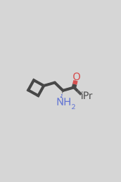 CC(C)C(=O)[C@H](N)CC1CCC1